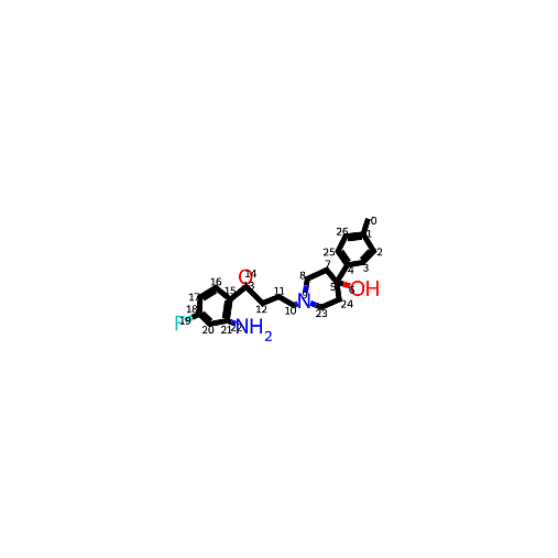 Cc1ccc(C2(O)CCN(CCCC(=O)c3ccc(F)cc3N)CC2)cc1